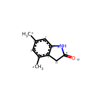 Cc1cc(C)c2c(c1)NC(=O)C2